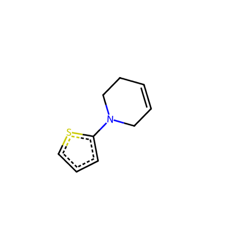 C1=CCN(c2cccs2)CC1